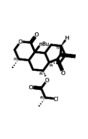 C=C1C(=O)[C@]23CC[C@H]1CC2C1(CCCC)C(=O)OC[C@@H](C)C1C[C@H]3OC(=O)[C@@H](C)Cl